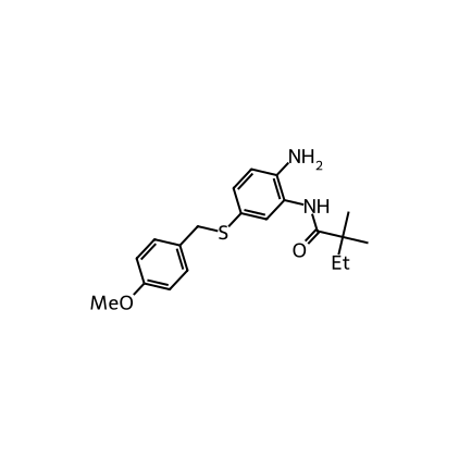 CCC(C)(C)C(=O)Nc1cc(SCc2ccc(OC)cc2)ccc1N